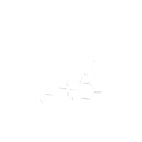 CCCCN1C(=O)CCC(P(=O)(O)C(C)CCN)P1(=O)O